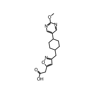 COc1ncc(C2CCC(Cc3cc(CC(=O)O)on3)CC2)cn1